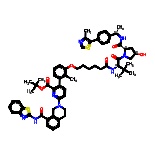 Cc1ncsc1-c1ccc([C@H](C)NC(=O)[C@@H]2C[C@@H](O)CN2C(=O)[C@@H](NC(=O)CCCCCOc2cccc(-c3ccc(N4CCc5cccc(C(=O)Nc6nc7ccccc7s6)c5C4)nc3C(=O)OC(C)(C)C)c2C)C(C)(C)C)cc1